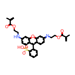 C=C(C)C(=O)OCC/N=c1\ccc2c(-c3ccccc3S(=O)(=O)O)c3ccc(NCCOC(=O)C(=C)C)cc3oc-2c1